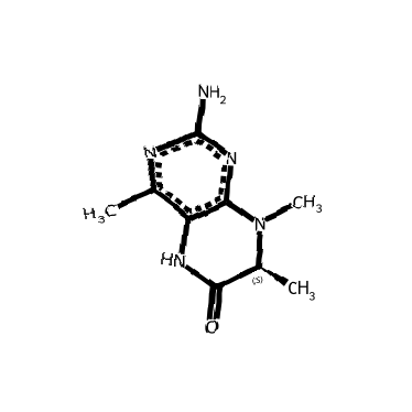 Cc1nc(N)nc2c1NC(=O)[C@H](C)N2C